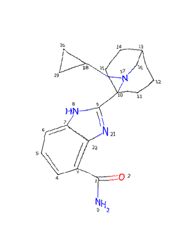 NC(=O)c1cccc2[nH]c(C34CCC(CC3)CN4C3CC3)nc12